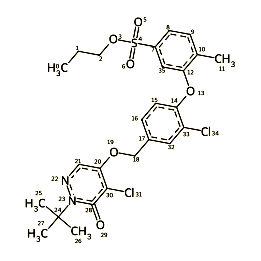 CCCOS(=O)(=O)c1ccc(C)c(Oc2ccc(COc3cnn(C(C)(C)C)c(=O)c3Cl)cc2Cl)c1